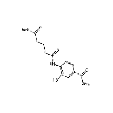 COC(=O)CCCC(=O)Nc1ccc(C(=O)OC)cc1O